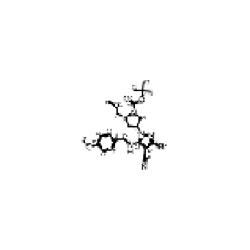 COC[C@@H]1CC(n2nc(Br)c(C#N)c2NCc2ccc(OC)cc2)CN1C(=O)OC(C)(C)C